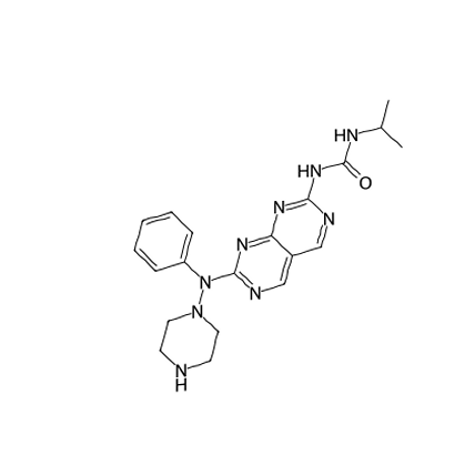 CC(C)NC(=O)Nc1ncc2cnc(N(c3ccccc3)N3CCNCC3)nc2n1